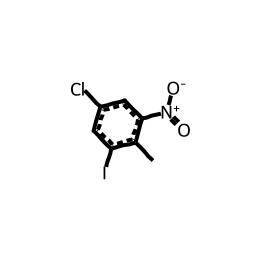 Cc1c(I)cc(Cl)cc1[N+](=O)[O-]